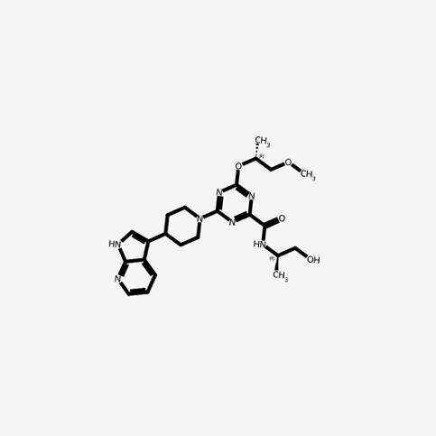 COC[C@@H](C)Oc1nc(C(=O)N[C@H](C)CO)nc(N2CCC(c3c[nH]c4ncccc34)CC2)n1